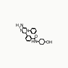 NC1=CN(c2ccccc2)C(c2cccc(C(=O)NC3CCC(O)CC3)c2)C=N1